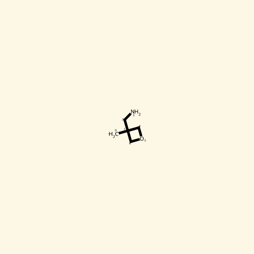 [CH2]C1(CN)COC1